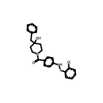 O=C(c1ccc(NSc2ccccc2Cl)cc1)N1CCC(O)(Cc2ccccc2)CC1